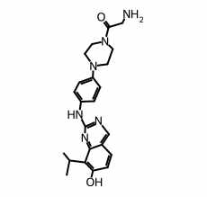 CC(C)c1c(O)ccc2cnc(Nc3ccc(N4CCN(C(=O)CN)CC4)cc3)nc12